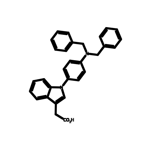 O=C(O)Cc1cn(-c2ccc(N(Cc3ccccc3)Cc3ccccc3)cc2)c2ccccc12